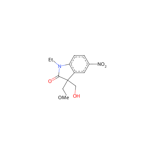 CCN1C(=O)C(CO)(COC)c2cc([N+](=O)[O-])ccc21